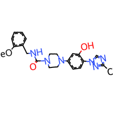 COc1ccccc1CNC(=O)N1CCN(c2ccc(-n3cnc(C)n3)c(O)c2)CC1